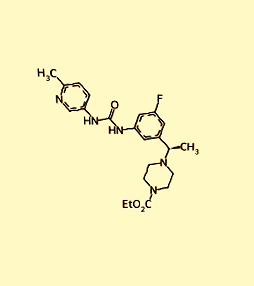 CCOC(=O)N1CCN([C@H](C)c2cc(F)cc(NC(=O)Nc3ccc(C)nc3)c2)CC1